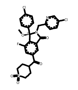 CO[C@]1(c2ccc(Cl)cc2)c2c(F)cc(C(=O)C3CCS(=O)(=O)CC3)cc2C(=O)N1Cc1ccc(Cl)cn1